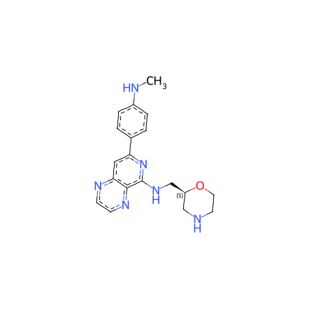 CNc1ccc(-c2cc3nccnc3c(NC[C@@H]3CNCCO3)n2)cc1